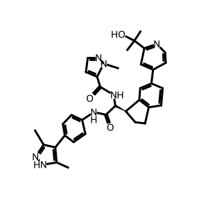 Cc1n[nH]c(C)c1-c1ccc(NC(=O)C(NC(=O)c2ccnn2C)[C@@H]2CCc3ccc(-c4ccnc(C(C)(C)O)c4)cc32)cc1